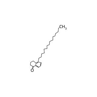 CCCCCCCCCCCCCCCCc1cccc2c1CCCC2=O